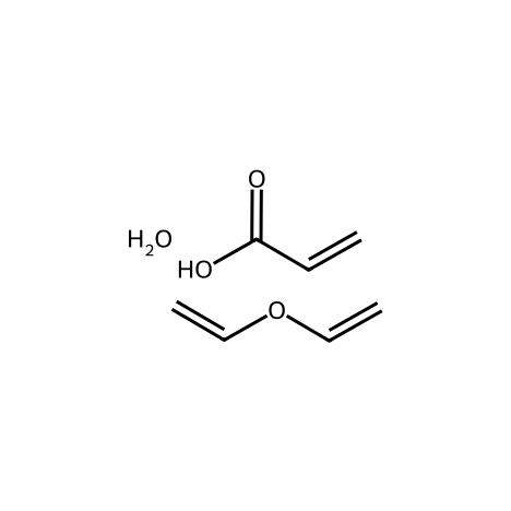 C=CC(=O)O.C=COC=C.O